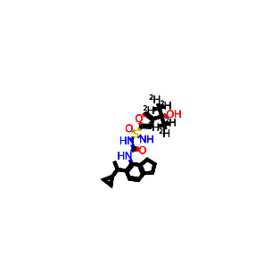 [2H]C([2H])([2H])C(O)(c1coc(S(=N)(=O)NC(=O)Nc2c(C(C)C3CC3)ccc3c2CCC3)c1)C([2H])([2H])[2H]